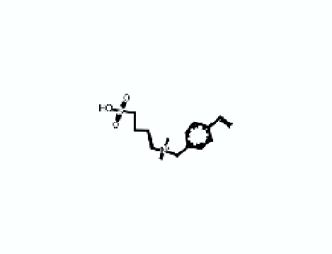 C=Cc1ccc(C[N+](C)(C)CCCCS(=O)(=O)O)cc1